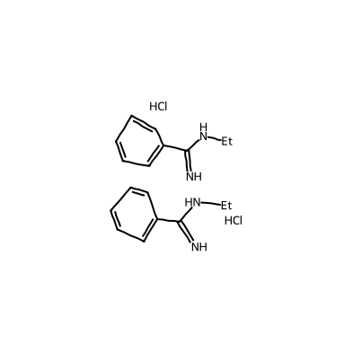 CCNC(=N)c1ccccc1.CCNC(=N)c1ccccc1.Cl.Cl